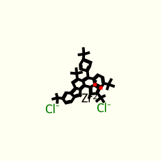 CC1=C(c2c3c(cc(C(C)(C)C)c2=C(c2ccc(C(C)(C)C)cc2)c2ccc(C(C)(C)C)cc2)=c2cc(C(C)(C)C)ccc2=[C]3[Zr+2])C(C)C=C1C(C)(C)C.[Cl-].[Cl-]